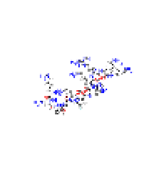 C[C@H](NC(=O)[C@H](CCN)NC(=O)C(N)CCCCN)C(=O)NCC(=O)N[C@H](CCCN)C(=O)N1C[C@@H](F)C[C@H]1C(=O)NC(Cc1cnc[nH]1)C(=O)N[C@@H](CCCCN)C(=O)N/C(=C\CCNC(=N)N)C(=O)N[C@@H](CCCCN)C(=O)NCCCCN